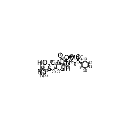 CO[C@@]1(NC(=O)C[S+]([O-])c2ccccc2)C(=O)N2C(C(=O)O)=C(CSc3cnn[nH]3)CS[C@H]21